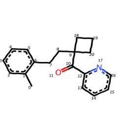 Cc1ccccc1CCC1(C(=O)c2ccccn2)CCC1